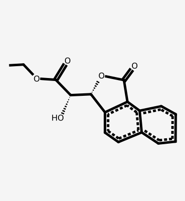 CCOC(=O)[C@@H](O)[C@@H]1OC(=O)c2c1ccc1ccccc21